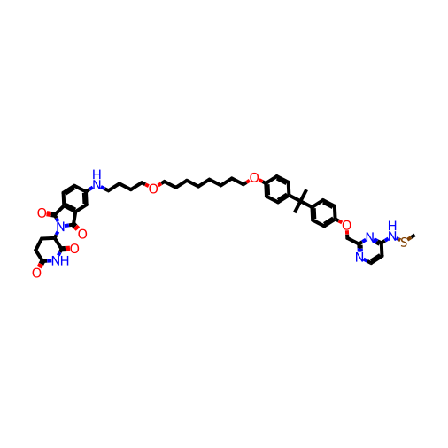 CSNc1ccnc(COc2ccc(C(C)(C)c3ccc(OCCCCCCCCOCCCCNc4ccc5c(c4)C(=O)N(C4CCC(=O)NC4=O)C5=O)cc3)cc2)n1